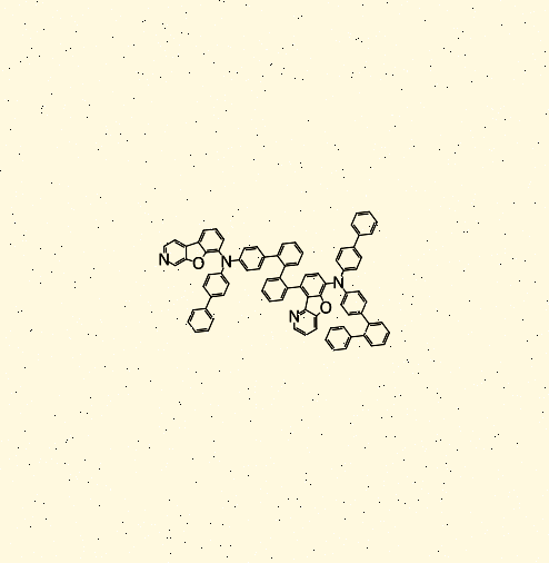 c1ccc(-c2ccc(N(c3ccc(-c4ccccc4-c4ccccc4-c4ccc(N(c5ccc(-c6ccccc6)cc5)c5ccc(-c6ccccc6-c6ccccc6)cc5)c5oc6cccnc6c45)cc3)c3cccc4c3oc3cnccc34)cc2)cc1